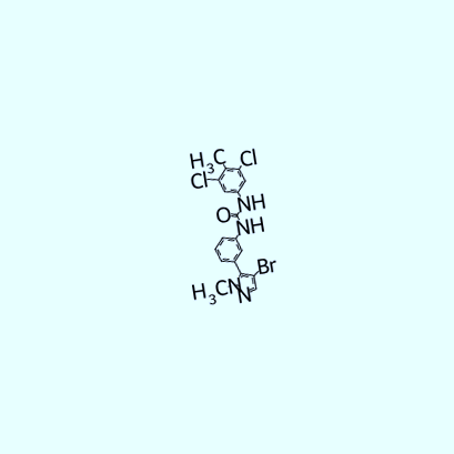 Cc1c(Cl)cc(NC(=O)Nc2cccc(-c3c(Br)cnn3C)c2)cc1Cl